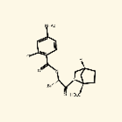 CC(=O)Nc1ccc(C(=O)N[C@H](C(=O)N2C[C@@H]3CC[C@@]2(C(=O)O)C3)C(C)(C)C)c(Cl)c1